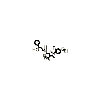 CCOc1ccc(-n2nc3c(NCCC(O)c4ccccc4)nnc(C)c3c2C)c(F)c1